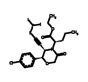 CCC[C@@H](C(=O)OCC)N1C(=O)CO[C@H](c2ccc(Cl)cc2)[C@@H]1C#CSP(I)I